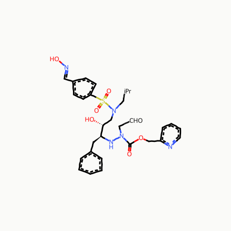 CC(C)CN(C[C@@H](O)[C@H](Cc1ccccc1)NN(CC=O)C(=O)OCc1ccccn1)S(=O)(=O)c1ccc(C=NO)cc1